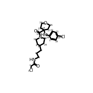 O=C(CCl)NCCCC1CCN(C(=O)C2(Nc3ccc(Cl)cc3)CCOCC2)CC1